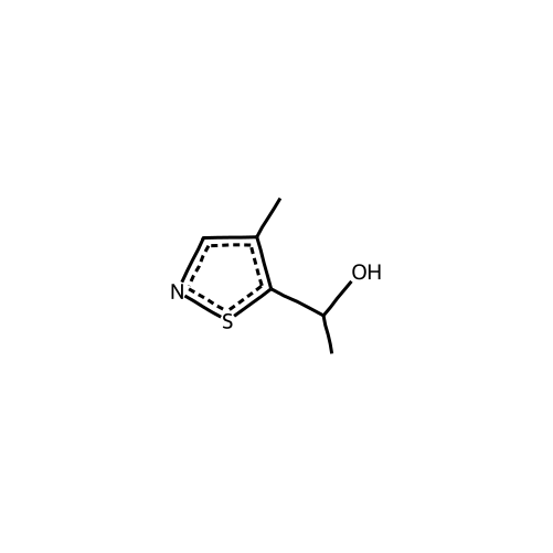 Cc1cnsc1C(C)O